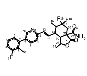 Cc1c(F)cccc1-c1ccc(C=CC2C(C)C(F)(F)CC3(C(N)=O)C(=O)OC(C)C23)nc1